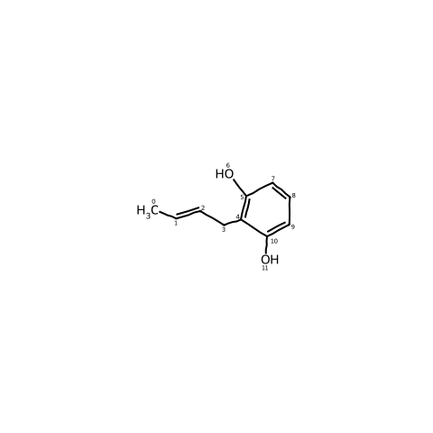 CC=CCc1c(O)cccc1O